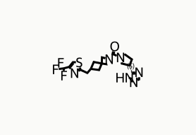 O=C(N1CC[C@H](c2ncn[nH]2)C1)N1CC2(CC(Cc3nc(C(F)(F)F)cs3)C2)C1